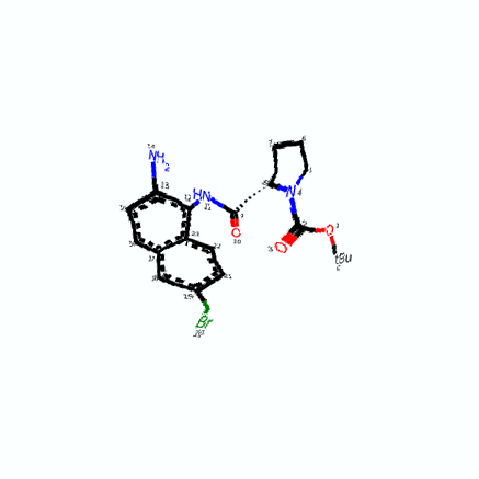 CC(C)(C)OC(=O)N1CCC[C@H]1C(=O)Nc1c(N)ccc2cc(Br)ccc12